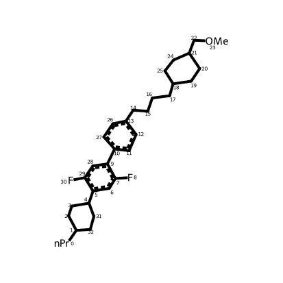 CCCC1CCC(c2cc(F)c(-c3ccc(CCCCC4CCC(COC)CC4)cc3)cc2F)CC1